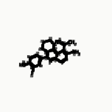 CC(=N)c1c(N)ccc2nc(-c3ccc(O)c(F)c3)c3c(c12)CCCC3